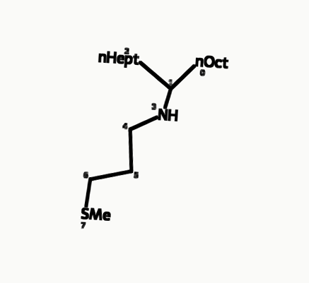 CCCCCCCCC(CCCCCCC)NCCCSC